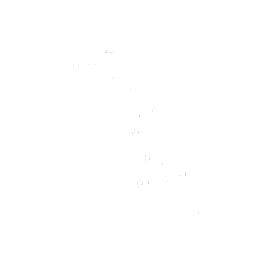 CC(C)(CCO)c1csc(NC(=O)Cc2csc3ccc(Cl)cc23)n1